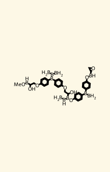 BBB(Oc1ccc(B(B)c2ccc(OBC3CO3)cc2)cc1)C(O)COc1ccc(B(B(B)B)c2ccc(OCC(O)BOC)cc2)cc1